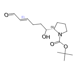 CC(C)(C)OC(=O)N1CCC[C@H]1C(O)CC/C=C/C=O